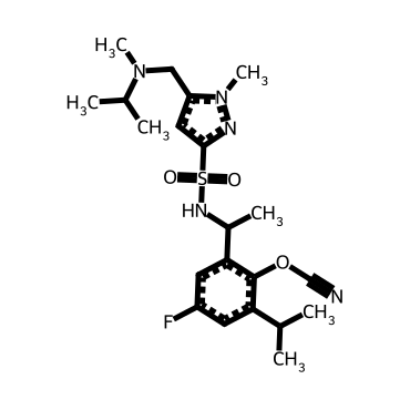 CC(C)c1cc(F)cc(C(C)NS(=O)(=O)c2cc(CN(C)C(C)C)n(C)n2)c1OC#N